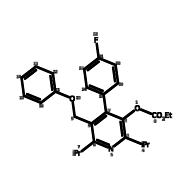 CCOC(=O)Oc1c(C(C)C)nc(C(C)C)c(COc2ccccc2)c1-c1ccc(F)cc1